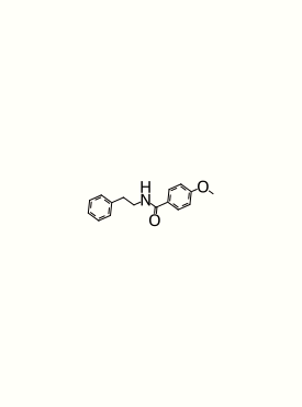 COc1ccc(C(=O)NCCc2ccccc2)cc1